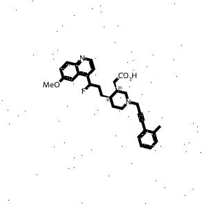 COc1ccc2nccc(C(F)CC[C@@H]3CCN(CC#Cc4ccccc4C)C[C@@H]3CC(=O)O)c2c1